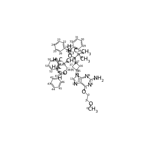 COCCOc1nc(N)nc2c1ncn2[C@H]1C[C@H](C(O[SiH](c2ccccc2)c2ccccc2)C(C)(C)C)[C@H]1C(O[SiH](c1ccccc1)c1ccccc1)C(C)(C)C